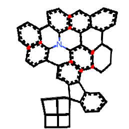 c1ccc(-c2ccccc2N(c2ccccc2-c2ccc3c(c2)C2(c4ccccc4-3)C3CC4CC5CC2C453)c2ccccc2-c2cccc3cccc(C4CCCCC4)c23)cc1